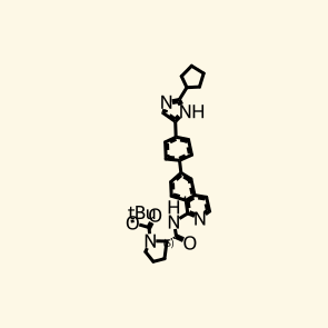 CC(C)(C)OC(=O)N1CCC[C@H]1C(=O)Nc1nccc2cc(-c3ccc(-c4cnc(C5CCCC5)[nH]4)cc3)ccc12